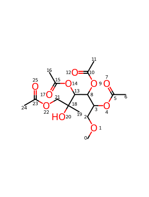 COCC(OC(C)=O)C(OC(C)=O)C(OC(C)=O)C(C)(O)COC(C)=O